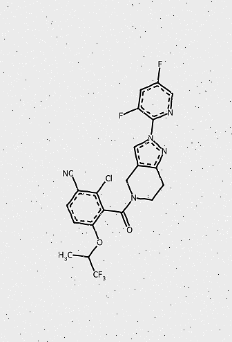 CC(Oc1ccc(C#N)c(Cl)c1C(=O)N1CCc2nn(-c3ncc(F)cc3F)cc2C1)C(F)(F)F